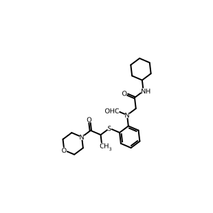 CC(Sc1ccccc1N(C=O)CC(=O)NC1CCCCC1)C(=O)N1CCOCC1